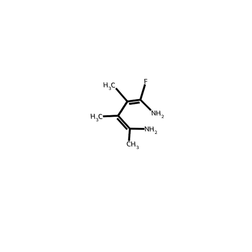 C/C(N)=C(C)/C(C)=C(\N)F